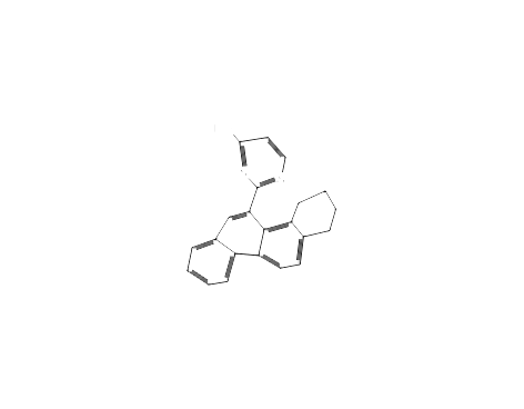 Oc1ccnc(-c2cc3ccccc3c3ccc4c(c23)CCCC4)n1